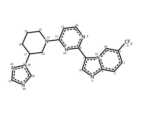 FC(F)(F)c1ccc2ncc(-c3nccc(N4CCCC(n5cncn5)C4)n3)n2c1